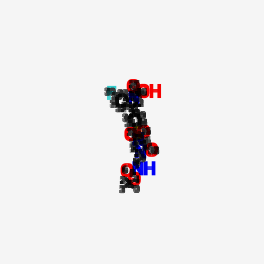 CC(C)(C)OC(=O)NCCN1CCN(S(=O)(=O)c2ccc(C3=CN(C(=O)O)C4CC(F)=CC=C34)cc2)CC1=O